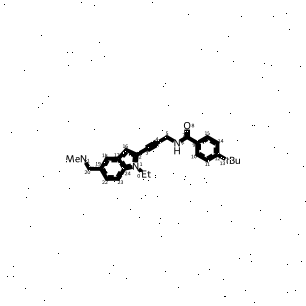 CCn1c(C#CCNC(=O)c2ccc(C(C)(C)C)cc2)cc2cc(CNC)ccc21